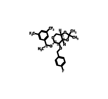 C[C@@H](O[C@@H]1OC[C@@H]2OC(C)(C)O[C@@H]2[C@H]1OCc1ccc(F)cc1)c1cc(C(F)(F)F)cc(C(F)(F)F)c1